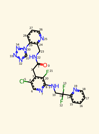 O=C(Cc1c(Cl)cnc(NCC(F)(F)c2ccccn2)c1F)NCc1ncccc1-n1cnnn1